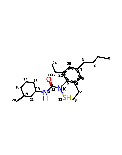 CCCCc1cc(CC)c(N(S)C(=O)NC2CCCC(C)C2)c(CC)c1